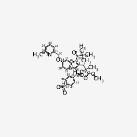 COC(=O)C(C)(C)Cc1c(C(=O)C(C)(C)C)c2cc(OCc3cccc(C)n3)ccn2c1C(=O)c1ccc([SH](=O)=O)cc1